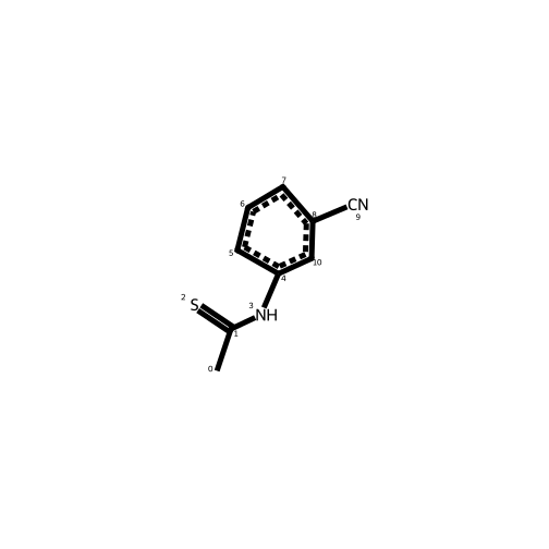 CC(=S)Nc1cccc(C#N)c1